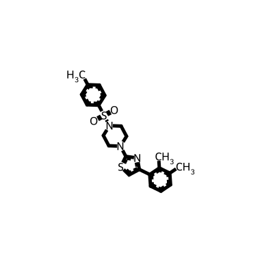 Cc1ccc(S(=O)(=O)N2CCN(c3nc(-c4cccc(C)c4C)cs3)CC2)cc1